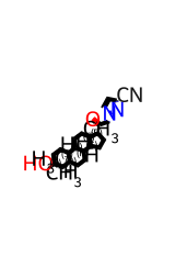 C[C@@]1(O)CC[C@@]2(C)[C@H](CC[C@@H]3[C@@H]2CC[C@]2(C)[C@H](C(=O)Cn4ccc(C#N)n4)CC[C@@H]32)C1